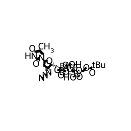 BP(=O)(OC[C@H]1O[C@@H](n2cc(C)c(=O)[nH]c2=O)C[C@H]1N=[N+]=[N-])OP(=O)(O)C(F)(F)P(=O)(O)OCOC(=O)C(C)(C)C